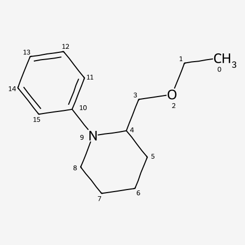 CCOCC1CCCCN1c1ccccc1